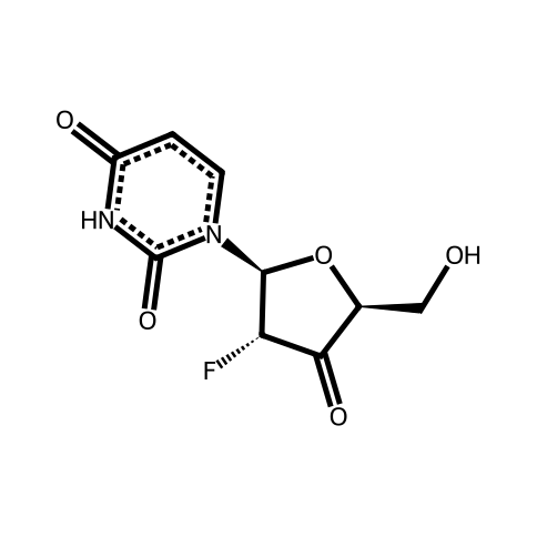 O=C1[C@H](CO)O[C@H](n2ccc(=O)[nH]c2=O)[C@H]1F